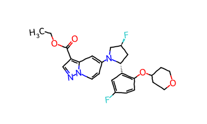 CCOC(=O)c1cnn2ccc(N3C[C@@H](F)C[C@@H]3c3cc(F)ccc3OC3CCOCC3)cc12